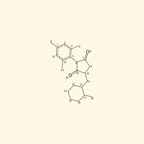 Cc1cc(C)c(C2C(=O)CC(CC3CCCCC3C)C2=O)c(C)c1